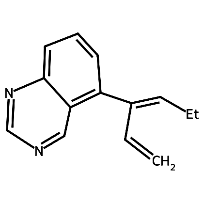 C=C/C(=C\CC)c1cccc2ncncc12